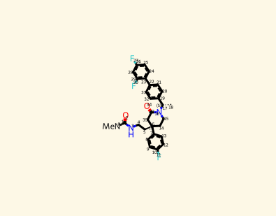 CNC(=O)NCC[C@]1(c2ccc(F)cc2)CCN([C@@H](C)c2ccc(-c3ccc(F)cc3F)cc2)C(=O)C1